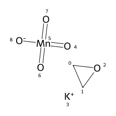 C1CO1.[K+].[O]=[Mn](=[O])(=[O])[O-]